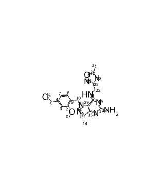 COc1cc(CCl)ccc1Cn1nc(C)c2nc(N)nc(NCc3noc(C)n3)c21